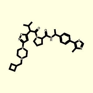 Cc1ncsc1-c1ccc(C(C)NC(=O)C2CCCN2C(=O)C(c2cc(N3CCN(CC4CCC4)CC3)no2)C(C)C)cc1